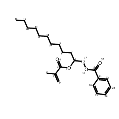 C=C(C)C(=O)OC(CCCCCCCCCC)OOC(=O)c1ccccc1